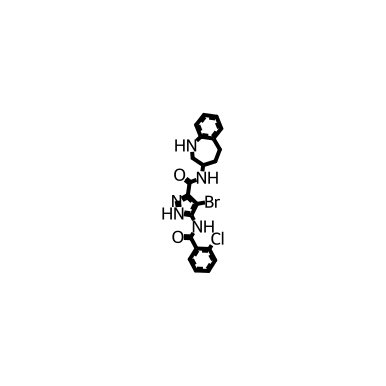 O=C(Nc1[nH]nc(C(=O)NC2CCc3ccccc3NC2)c1Br)c1ccccc1Cl